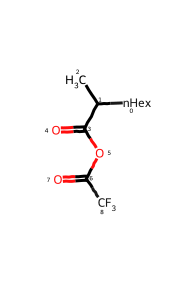 CCCCCCC(C)C(=O)OC(=O)C(F)(F)F